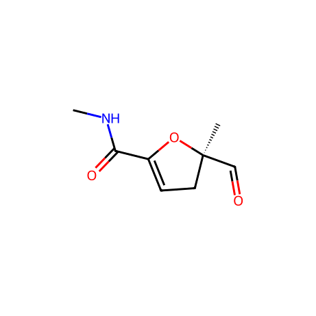 CNC(=O)C1=CC[C@](C)(C=O)O1